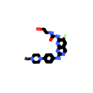 CC(=O)N1CCN(c2ccc(Nc3ncc4cc(F)c(NC(=O)NCCO)nc4n3)cc2)CC1